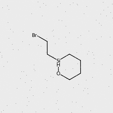 BrCC[SiH]1CCCCO1